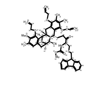 C=CCOc1c(C)c(C)c(OCC=C)c2c1C[C@H]1[C@@H]3c4c(cc(C)c(OC)c4OCC=C)C[C@H]([C@H](C#N)N1[C@H]2CCC(=O)[C@@H](CSCC1c2ccccc2-c2ccccc21)NC(=O)OC(C)(C)C)N3C